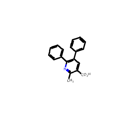 Cc1nc(-c2ccccc2)c(-c2ccccc2)cc1C(=O)O